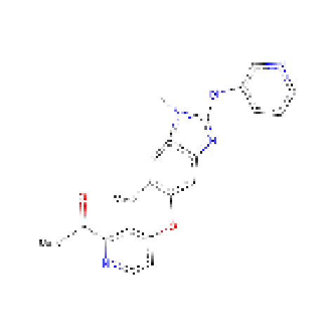 CNC(=O)c1cc(Oc2cc3nc(Nc4cccnc4)n(C)c3cc2OC)ccn1